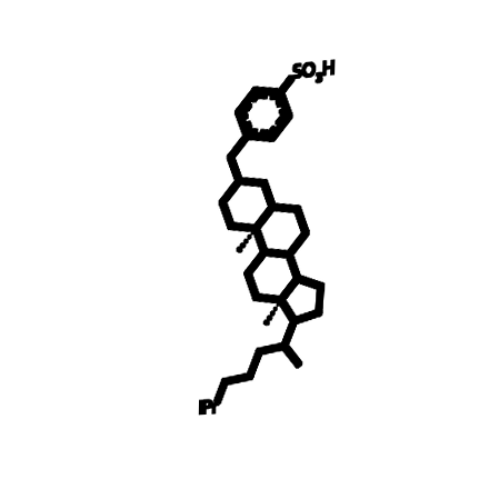 CC(C)CCCC(C)C1CCC2C3CCC4CC(Cc5ccc(S(=O)(=O)O)cc5)CC[C@]4(C)C3CC[C@]12C